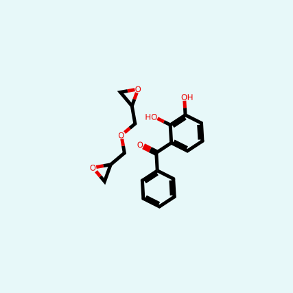 C(OCC1CO1)C1CO1.O=C(c1ccccc1)c1cccc(O)c1O